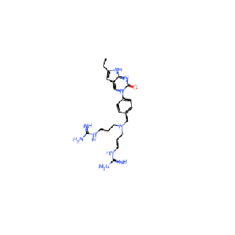 CCc1cc2cn(-c3ccc(CN(CCCNC(=N)N)CCCNC(=N)N)cc3)c(=O)nc2[nH]1